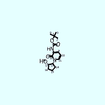 CC(C)(C)OC(=O)Nc1cccn([C@@H]2CCC[C@@H]2O)c1=O